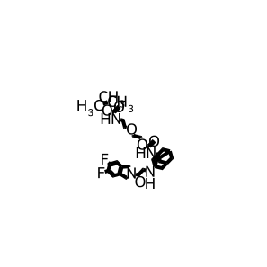 CC(C)(C)OC(=O)NCCOCCOC(=O)NC12CC3CC(CC(NCC(=O)N4Cc5cc(F)c(F)cc5C4)(C3)C1)C2